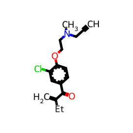 C#CCN(C)CCOc1ccc(C(=O)C(=C)CC)cc1Cl